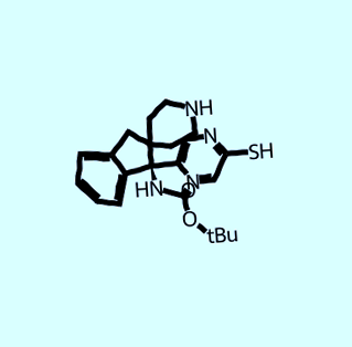 CC(C)(C)OC(=O)N[C@@]1(c2cnc(S)cn2)c2ccccc2CC12CCNCC2